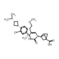 COCCC1=CN(C23CCC(C(=O)O)(C2)C3)C(=O)N[C@@]1(C)c1ccc([C@H]2C[C@@H](C(C)C)C2)c(Cl)c1